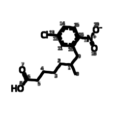 CC(CCCCC(=O)O)Cc1cc(Cl)ccc1[N+](=O)[O-]